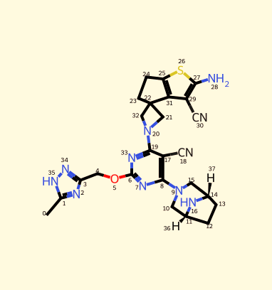 Cc1nc(COc2nc(N3C[C@H]4CC[C@@H](C3)N4)c(C#N)c(N3CC4(CCc5sc(N)c(C#N)c54)C3)n2)n[nH]1